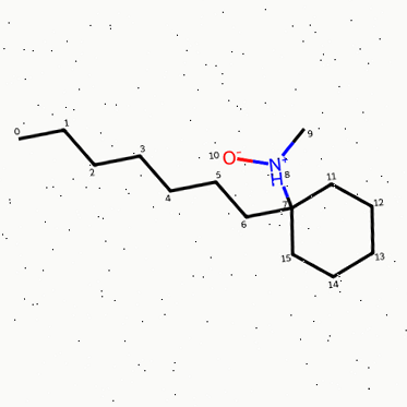 CCCCCCCC1([NH+](C)[O-])CCCCC1